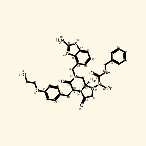 CCCN(C(=O)NCc1ccccc1)N1CC(=O)N2[C@@H](Cc3ccc(OCCO)cc3)C(=O)N(Cc3cccc4sc(N)nc34)C[C@@H]21